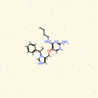 CCCCNc1nc(N)ncc1OCc1cncn1[C@H](C)c1ccccc1